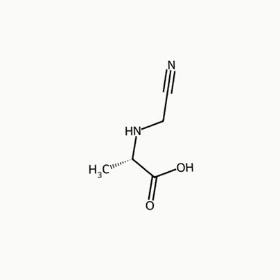 C[C@H](NCC#N)C(=O)O